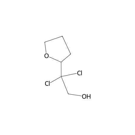 OCC(Cl)(Cl)C1CCCO1